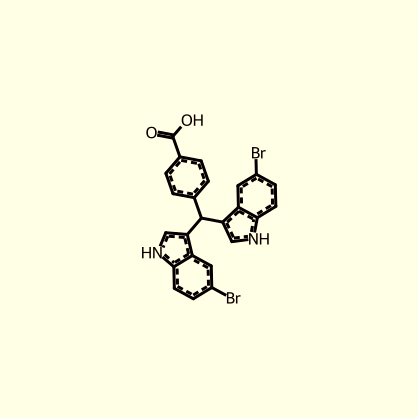 O=C(O)c1ccc(C(c2c[nH]c3ccc(Br)cc23)c2c[nH]c3ccc(Br)cc23)cc1